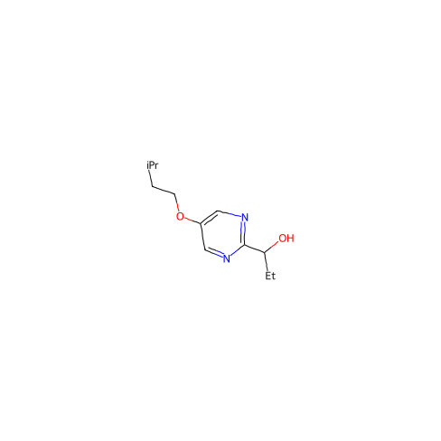 CCC(O)c1ncc(OCCC(C)C)cn1